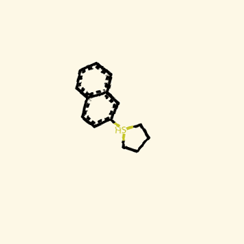 c1ccc2cc([SH]3CCCC3)ccc2c1